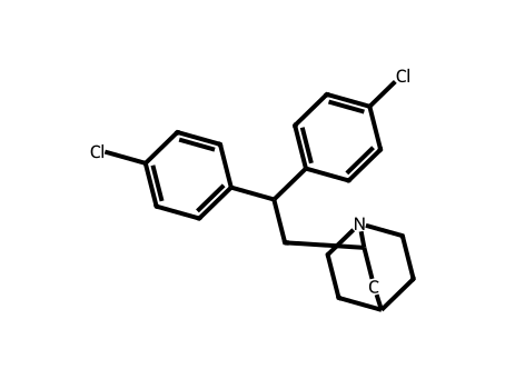 Clc1ccc(C(CC2CC3CCN2CC3)c2ccc(Cl)cc2)cc1